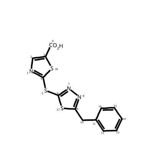 O=C(O)c1cnc(Sc2nnc(Cc3ccccc3)s2)s1